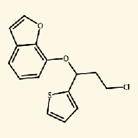 ClCCC(Oc1cccc2ccoc12)c1cccs1